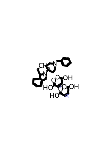 CCC1c2ccccc2CN1C1CCN(Cc2ccccc2)CC1.O=C(O)/C=C\C(=O)O.O=C(O)/C=C\C(=O)O